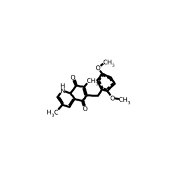 COc1ccc(OC)c(CC2=C(C)C(=O)C3NC=C(C)C=C3C2=O)c1